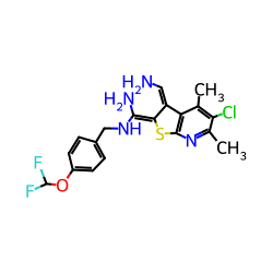 Cc1nc2sc(=C(/N)NCc3ccc(OC(F)F)cc3)/c(=C\N)c2c(C)c1Cl